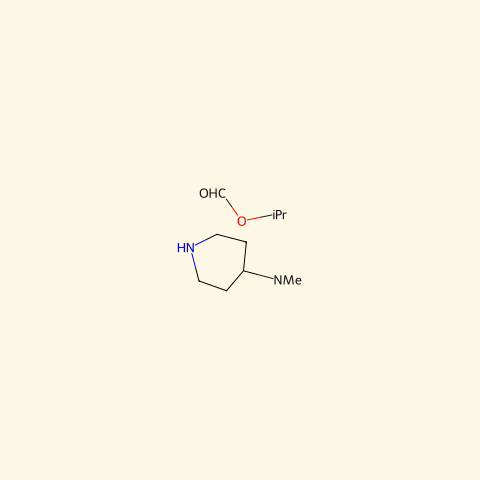 CC(C)OC=O.CNC1CCNCC1